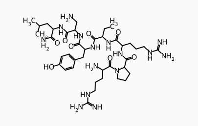 CCC(NC(=O)C(CCCNC(=N)N)NC(=O)C1CCCN1C(=O)C(N)CCCNC(=N)N)C(=O)NC(Cc1ccc(O)cc1)C(=O)NC(CN)C(=O)NC(CC(C)C)C(N)=O